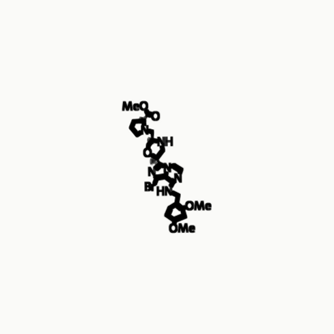 COC(=O)[C@H]1CCCN1C[C@@H]1CO[C@@H](c2nc(Br)c3c(NCc4ccc(OC)cc4OC)nccn23)CN1